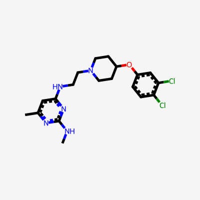 CNc1nc(C)cc(NCCN2CCC(Oc3ccc(Cl)c(Cl)c3)CC2)n1